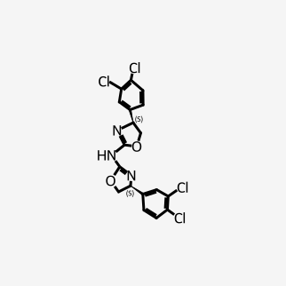 Clc1ccc([C@H]2COC(NC3=N[C@@H](c4ccc(Cl)c(Cl)c4)CO3)=N2)cc1Cl